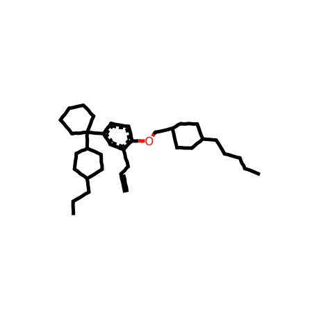 C=CCc1cc(C2(C3CCC(CCC)CC3)CCCCC2)ccc1OCC1CCC(CCCCC)CC1